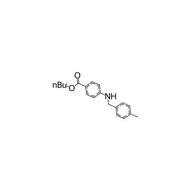 CCCCOC(=O)c1ccc(NCc2ccc(C)cc2)cc1